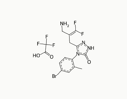 Cc1cc(Br)ccc1-n1c(CC(CN)=C(F)F)n[nH]c1=O.O=C(O)C(F)(F)F